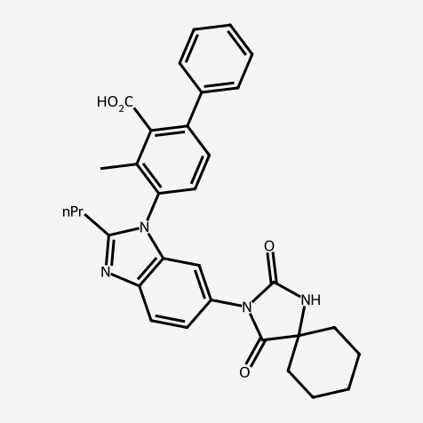 CCCc1nc2ccc(N3C(=O)NC4(CCCCC4)C3=O)cc2n1-c1ccc(-c2ccccc2)c(C(=O)O)c1C